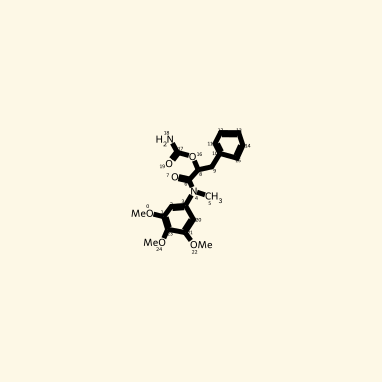 COc1cc(N(C)C(=O)C(Cc2ccccc2)OC(N)=O)cc(OC)c1OC